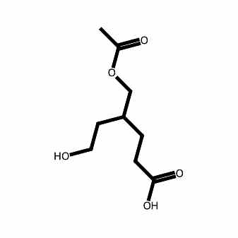 CC(=O)OCC(CCO)CCC(=O)O